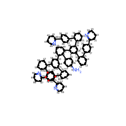 Nc1ccc(-c2c(-c3cc(-c4ccccc4-c4ccc(-c5ccccn5)cc4)cc(-c4ccccc4-c4ccc(-c5ccccn5)cc4)c3)cccc2-c2cc(-c3ccccc3-c3ccc(-c4ccccn4)cc3)cc(-c3ccccc3-c3ccc(-c4ccccn4)cc3)c2)cc1